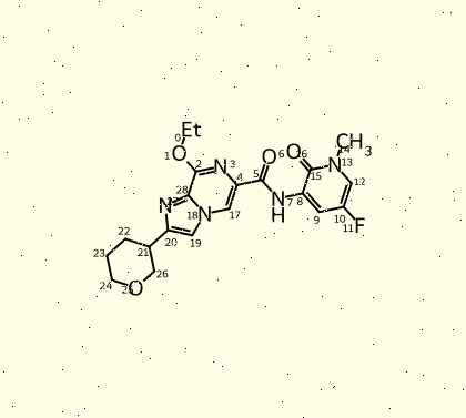 CCOc1nc(C(=O)Nc2cc(F)cn(C)c2=O)cn2cc(C3CCCOC3)nc12